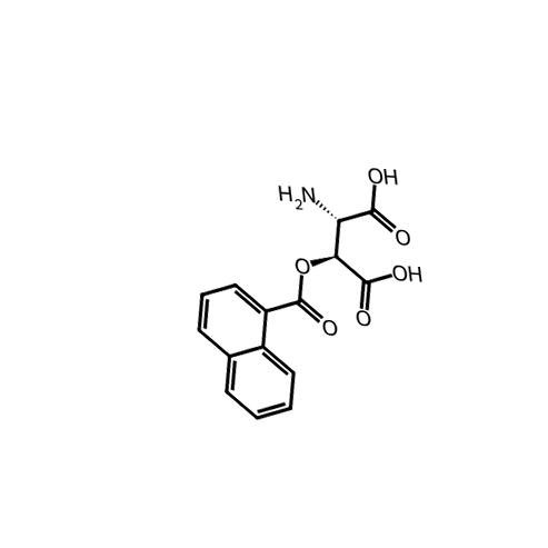 N[C@H](C(=O)O)[C@H](OC(=O)c1cccc2ccccc12)C(=O)O